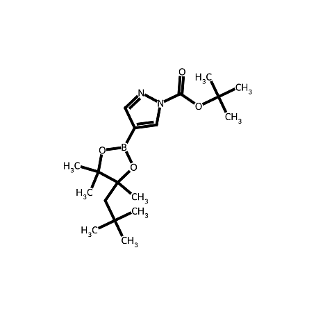 CC(C)(C)CC1(C)OB(c2cnn(C(=O)OC(C)(C)C)c2)OC1(C)C